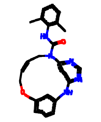 Cc1cccc(C)c1NC(=O)N1C/C=C\COc2cccc(c2)Nc2cc1ncn2